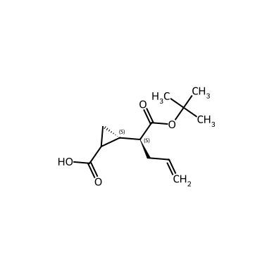 C=CC[C@H](C(=O)OC(C)(C)C)[C@H]1CC1C(=O)O